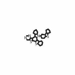 c1ccc2c(c1)sc1ccc(-n3c4ccccc4c4c5c6ncncc6sc5c5sc6ccccc6c5c43)cc12